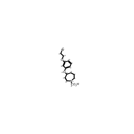 O=C(O)N1CCCC(Oc2cccc(OCCBr)c2)CC1